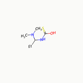 CCC(NC(O)=S)N(C)C